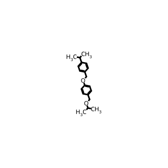 CC(C)OCc1ccc(OCc2ccc(C(C)C)cc2)cc1